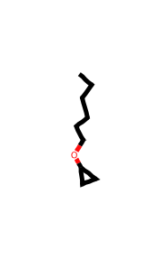 CCCCC[CH]OC1CC1